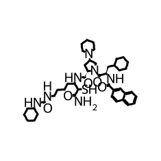 NC(=O)C(S)C(CCCCNC(=O)NC1CCCCC1)NC(=O)[C@@H]1C[C@@H](N2CCCCC2)CN1C(=O)[C@@H](CC1CCCCC1)NC(=O)c1ccc2ccccc2c1